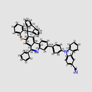 N#Cc1ccc2c(c1)c1ccccc1n2-c1ccc(-c2ccc3c(c2)nc(-c2ccccc2)c2cc4c(cc23)C2(c3ccccc3S4)c3ccccc3-c3ccccc32)cc1